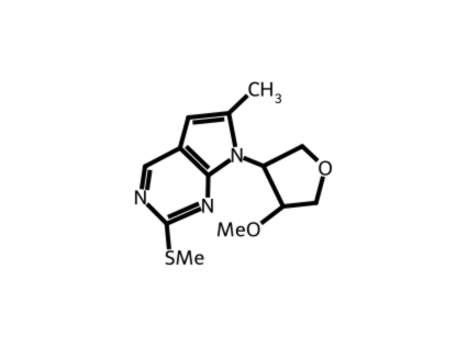 COC1COCC1n1c(C)cc2cnc(SC)nc21